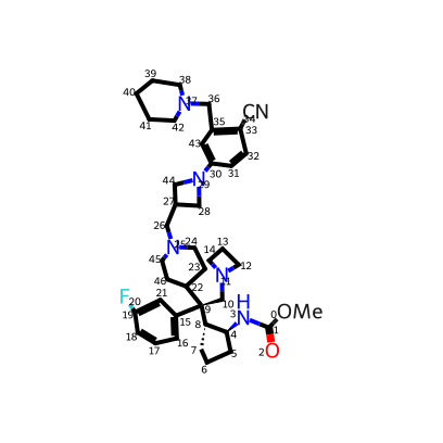 COC(=O)N[C@H]1CCC[C@@H]1[C@](CN1CCC1)(c1cccc(F)c1)C1CCN(CC2CN(c3ccc(C#N)c(CN4CCCCC4)c3)C2)CC1